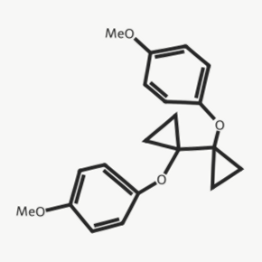 COc1ccc(OC2(C3(Oc4ccc(OC)cc4)CC3)CC2)cc1